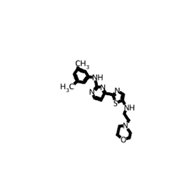 Cc1cc(C)cc(Nc2nccc(-c3ncc(NCCN4CCOCC4)s3)n2)c1